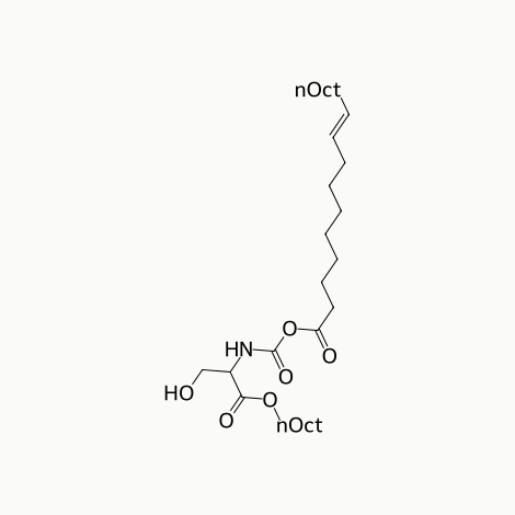 CCCCCCCCC=CCCCCCCCC(=O)OC(=O)NC(CO)C(=O)OCCCCCCCC